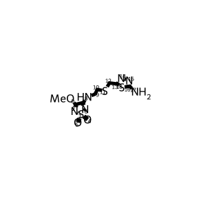 COC1=NS(=O)(=O)N=C1NCCSCc1nnc(N)s1